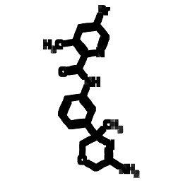 Cc1cc(Br)cnc1C(=O)Nc1cccc(C2(C)COCC(N)=N2)c1